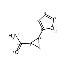 NC(=O)C1CC1c1ccco1